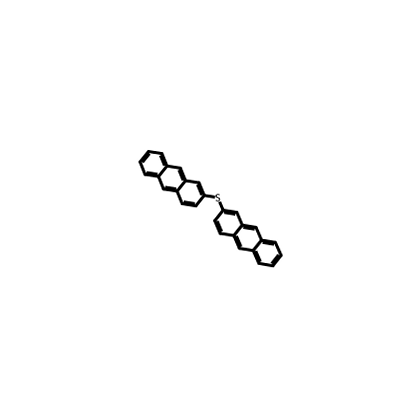 c1ccc2cc3cc(Sc4ccc5cc6ccccc6cc5c4)ccc3cc2c1